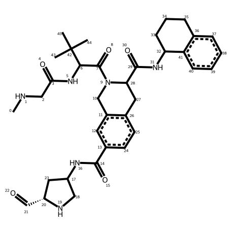 CNCC(=O)NC(C(=O)N1Cc2cc(C(=O)NC3CN[C@H](C=O)C3)ccc2CC1C(=O)NC1CCCc2ccccc21)C(C)(C)C